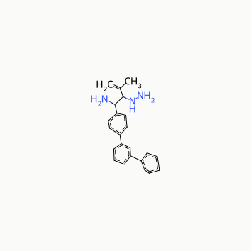 C=C(C)C(NN)C(N)c1ccc(-c2cccc(-c3ccccc3)c2)cc1